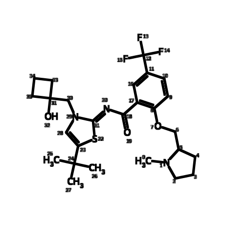 CN1CCCC1COc1ccc(C(F)(F)F)cc1C(=O)N=c1sc(C(C)(C)C)cn1CC1(O)CCC1